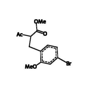 COC(=O)C(Cc1ccc(Br)cc1OC)C(C)=O